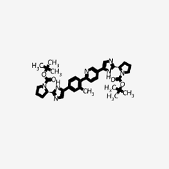 Cc1cc(-c2cnc([C@@H]3CCCN3C(=O)OC(C)(C)C)[nH]2)ccc1-c1ccc(-c2cnc([C@@H]3CCCN3C(=O)OC(C)(C)C)[nH]2)cn1